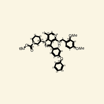 COc1ccc(CNc2ncc(I)c3c2c(-c2ccc(Oc4ccccc4)cc2)nn3[C@@H]2CCCN(C(=O)OC(C)(C)C)C2)c(OC)c1